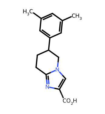 Cc1cc(C)cc(C2CCc3nc(C(=O)O)cn3C2)c1